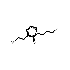 NCCc1cccn(CCCO)c1=O